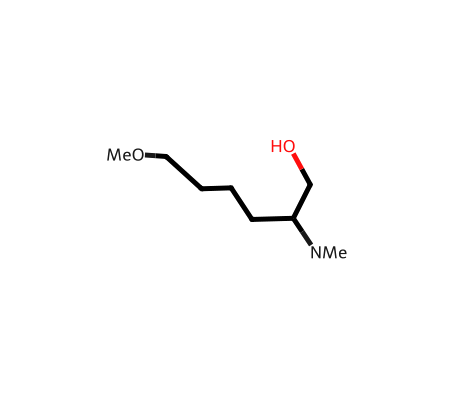 CNC(CO)CCCCOC